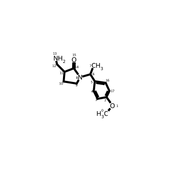 COc1ccc(C(C)N2CCC(CN)C2=O)cc1